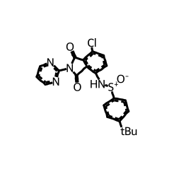 CC(C)(C)c1ccc([S+]([O-])Nc2ccc(Cl)c3c2C(=O)N(c2ncccn2)C3=O)cc1